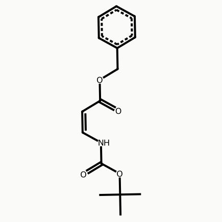 CC(C)(C)OC(=O)N/C=C\C(=O)OCc1ccccc1